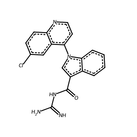 N=C(N)NC(=O)c1cn(-c2ccnc3ccc(Cl)cc23)c2ccccc12